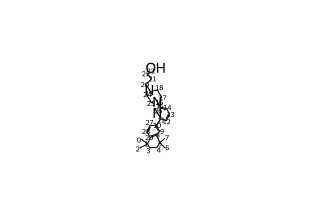 CC1(C)CCC(C)(C)c2cc(-c3cccc(N4CCN(CCCO)CC4)n3)ccc21